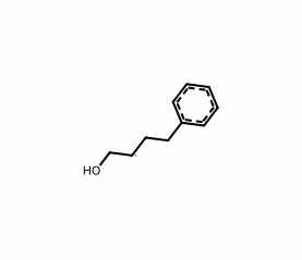 OC[CH]CCc1ccccc1